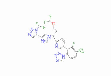 Fc1c(Cl)ccc(-n2cnnn2)c1-c1ccc(C(CCOC(F)F)n2cnc(-c3cnnn3C(F)F)c2)nc1